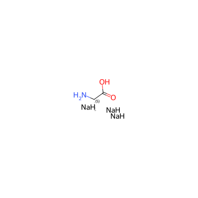 C[C@H](N)C(=O)O.[NaH].[NaH].[NaH]